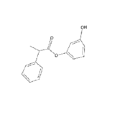 CC(C(=O)Oc1cccc(O)c1)c1ccccc1